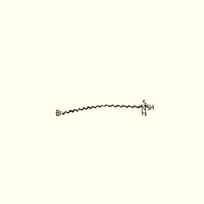 S=C(S)NCCCCCCCCCCCCCCCCCCCCCCCCCCCCCCCCBr